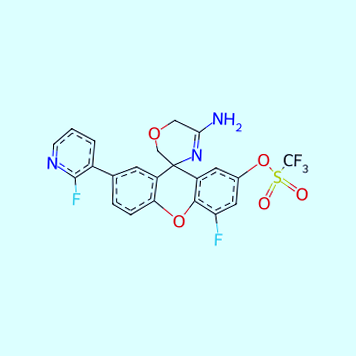 NC1=NC2(COC1)c1cc(-c3cccnc3F)ccc1Oc1c(F)cc(OS(=O)(=O)C(F)(F)F)cc12